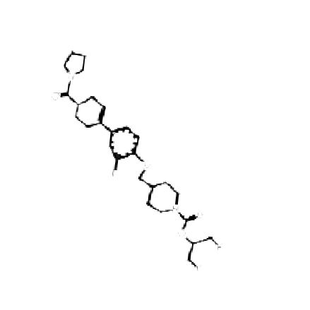 O=C(OC(CF)CF)N1CCC(COc2ccc(C3=CCC(C(=O)N4CCCC4)CC3)cc2F)CC1